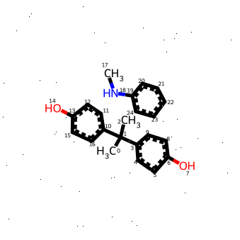 CC(C)(c1ccc(O)cc1)c1ccc(O)cc1.CNc1ccccc1